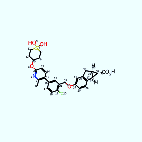 Cc1nc(OC2CCS(O)(O)CC2)ccc1-c1ccc(F)c(COc2ccc3c(c2)C[C@H]2[C@H](C(=O)O)[C@@H]32)c1